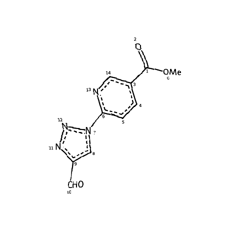 COC(=O)c1ccc(-n2cc(C=O)nn2)nc1